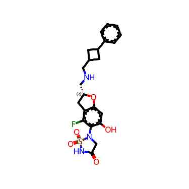 O=C1CN(c2c(O)cc3c(c2F)C[C@H](CNCC2CC(c4ccccc4)C2)O3)S(=O)(=O)N1